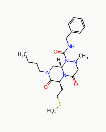 CCCCN1C[C@H]2N(C(=O)CN(C)N2C(=O)NCc2ccccc2)[C@@H](CCSC)C1=O